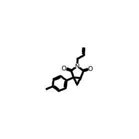 C=CCN1C(=O)C2CC2(c2ccc(C)cc2)C1=O